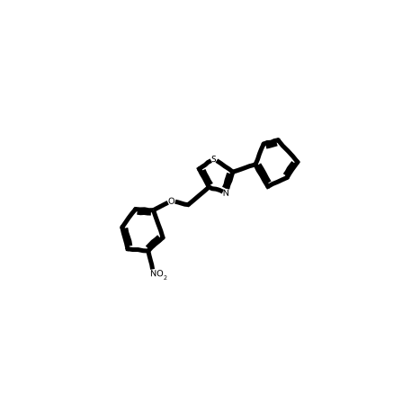 O=[N+]([O-])c1cccc(OCc2csc(-c3ccccc3)n2)c1